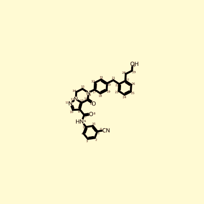 N#Cc1cccc(NC(=O)c2cnn3c2C(=O)N(c2ccc(Cc4ccccc4CCO)cc2)CC3)c1